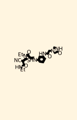 CCNC(=O)C(C#N)=c1sc(=CNc2cccc(NC(=O)CN3CNC(=O)C3)c2)c(=O)n1CC